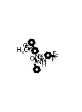 CS(=O)(=O)c1ccccc1-c1ccc(NC(=O)[C@@H](Cc2ccccc2)NC(=O)Nc2cccc(C(F)(F)F)c2)cc1